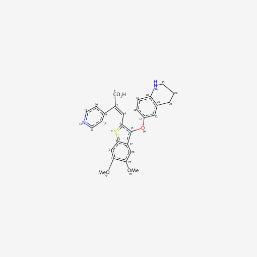 COc1cc2sc(/C=C(/C(=O)O)c3ccncc3)c(Oc3ccc4c(c3)CCCN4)c2cc1OC